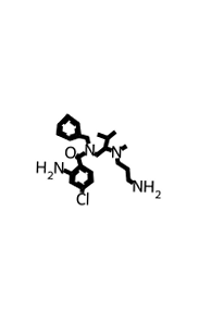 CC(C)C(CN(Cc1ccccc1)C(=O)c1ccc(Cl)cc1N)N(C)CCCN